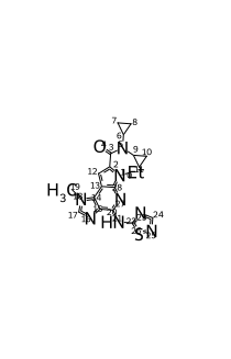 CCn1c(C(=O)N(C2CC2)C2CC2)cc2c3c(ncn3C)c(Nc3ncns3)nc21